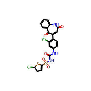 O=C(Nc1ccc(-c2cc(=O)[nH]c3ccccc3c2=O)c(Cl)c1)NS(=O)(=O)C1=CCC(Cl)S1